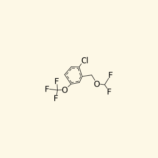 FC(F)OCc1cc(OC(F)(F)F)ccc1Cl